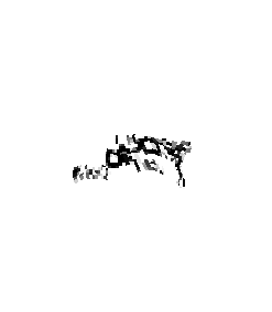 CCCCn1c(-c2ccc(NS(=O)(=O)CCCCl)cc2)c(C#N)c2ccc(OC)cc21